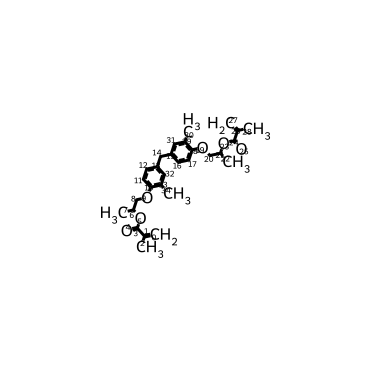 C=C(C)C(=O)OC(C)COc1ccc(Cc2ccc(OCC(C)OC(=O)C(=C)C)c(C)c2)cc1C